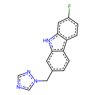 Fc1ccc2c(c1)[nH]c1cc(Cn3cncn3)ccc12